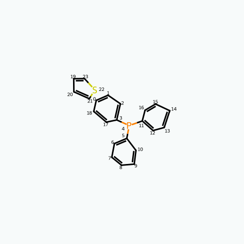 c1ccc(P(c2ccccc2)c2ccccc2)cc1.c1ccsc1